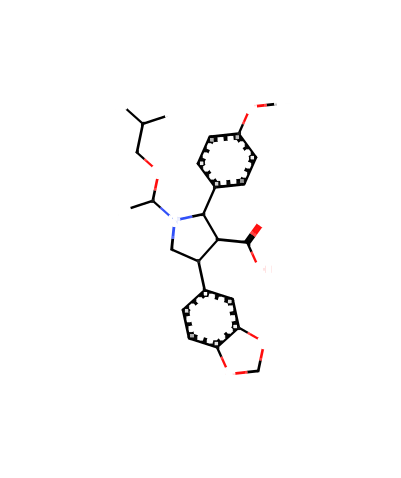 COc1ccc(C2C(C(=O)O)C(c3ccc4c(c3)OCO4)CN2C(C)OCC(C)C)cc1